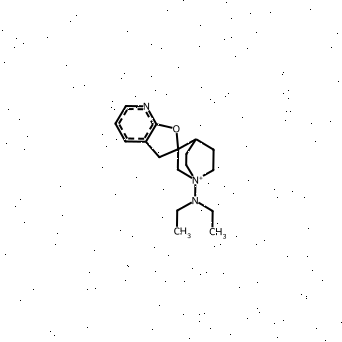 CCN(CC)[N+]12CCC(CC1)C1(Cc3cccnc3O1)C2